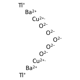 [Ba+2].[Ba+2].[Cu+2].[Cu+2].[O-2].[O-2].[O-2].[O-2].[O-2].[Tl+].[Tl+]